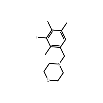 Cc1cc(CN2CCOCC2)c(C)c(F)c1C